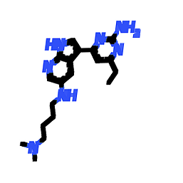 CCc1cc(-c2c[nH]c3ncc(NCCCCN(C)C)cc23)nc(N)n1